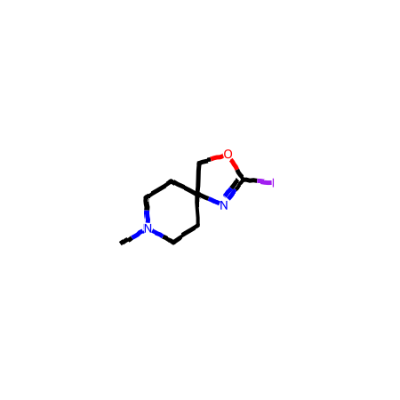 CN1CCC2(CC1)COC(I)=N2